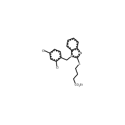 CCOC(=O)CCCSc1nc2ccccc2n1Cc1ccc(Cl)cc1Cl